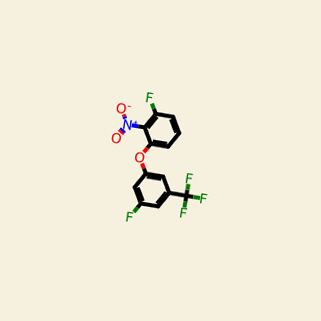 O=[N+]([O-])c1c(F)cccc1Oc1cc(F)cc(C(F)(F)F)c1